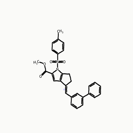 COC(=O)c1cc2c(n1S(=O)(=O)c1ccc(C)cc1)CC/C2=C\c1cccc(-c2ccccc2)c1